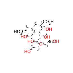 O=C(O)CCCCC(=O)O.OCCCCO.OCCO.OCCOCCO